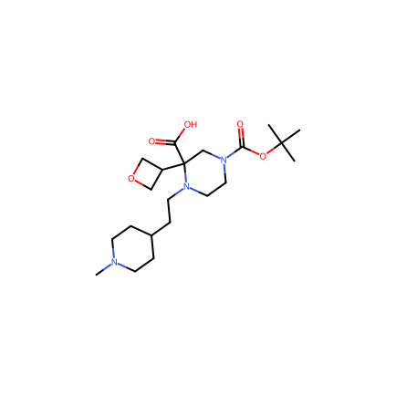 CN1CCC(CCN2CCN(C(=O)OC(C)(C)C)CC2(C(=O)O)C2COC2)CC1